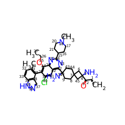 C=CC(=O)C1(N)CC2(CCC(N)(c3nc(C4CCN(C)CC4)nc4c(OCC)c(-c5c(C)ccc6[nH]ncc56)c(Cl)cc34)CC2)C1